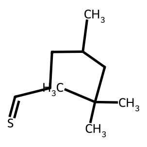 CC(CCC=S)CC(C)(C)C